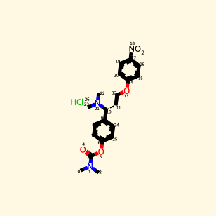 CN(C)C(=O)Oc1ccc([C@@H](CCOc2ccc([N+](=O)[O-])cc2)N(C)C)cc1.Cl